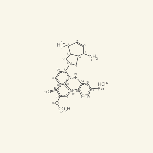 CC1C=CC(N)C2CN(c3ccc4c(=O)c(OC(=O)O)cn(-c5ccc(F)cc5F)c4n3)CC12.Cl